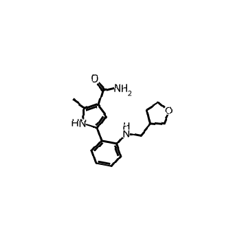 Cc1[nH]c(-c2ccccc2NCC2CCOC2)cc1C(N)=O